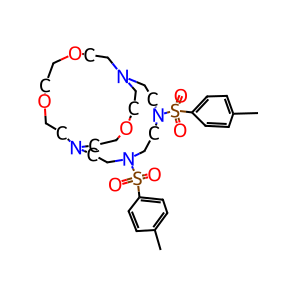 Cc1ccc(S(=O)(=O)N2CCN3CCOCCOCCN(CCOCC3)CCN(S(=O)(=O)c3ccc(C)cc3)CC2)cc1